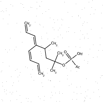 C=C/C=C\C(=C/C=C)C(C)CC(C)(C)OP(=O)(O)C(C)=O